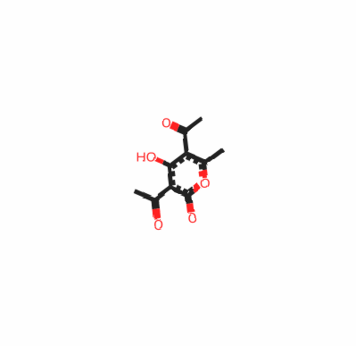 CC(=O)c1c(C)oc(=O)c(C(C)=O)c1O